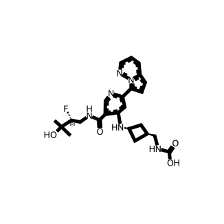 CC(C)(O)[C@H](F)CNC(=O)c1cnc(-c2ccc3cccnn23)cc1N[C@H]1C[C@H](CNC(=O)O)C1